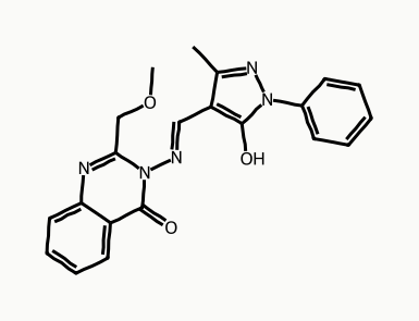 COCc1nc2ccccc2c(=O)n1/N=C/c1c(C)nn(-c2ccccc2)c1O